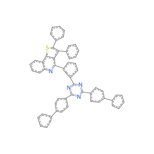 c1ccc(-c2ccc(-c3nc(-c4ccc(-c5ccccc5)cc4)nc(-c4cccc(-c5nc6ccccc6c6sc(-c7ccccc7)c(-c7ccccc7)c56)c4)n3)cc2)cc1